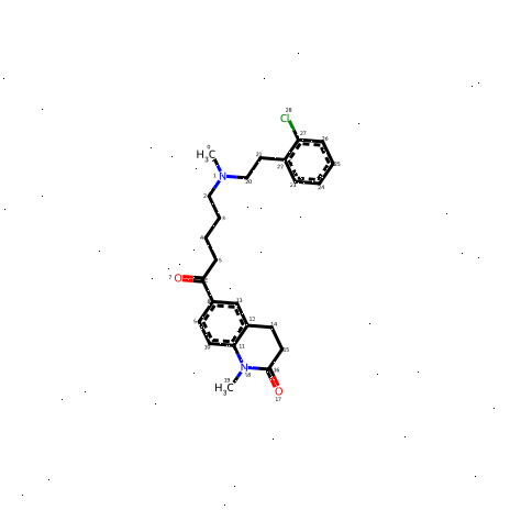 CN(CCCCC(=O)c1ccc2c(c1)CCC(=O)N2C)CCc1ccccc1Cl